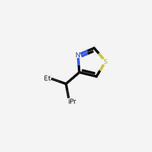 CCC(c1cscn1)C(C)C